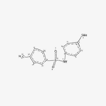 CSc1ccc(NS(=O)(=O)c2ccc(C)cc2)cc1